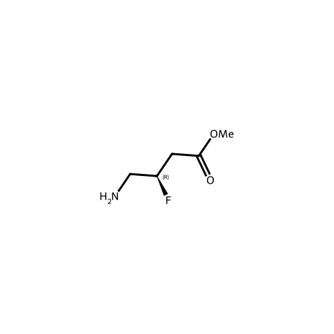 COC(=O)C[C@@H](F)CN